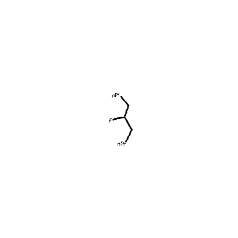 CCCCC(F)CCCC